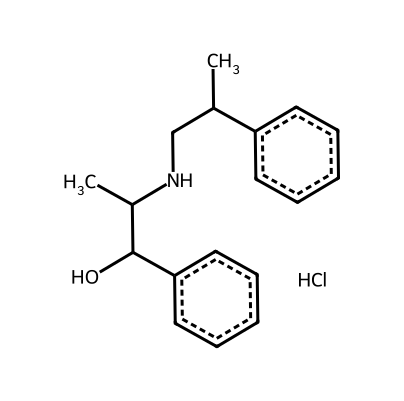 CC(CNC(C)C(O)c1ccccc1)c1ccccc1.Cl